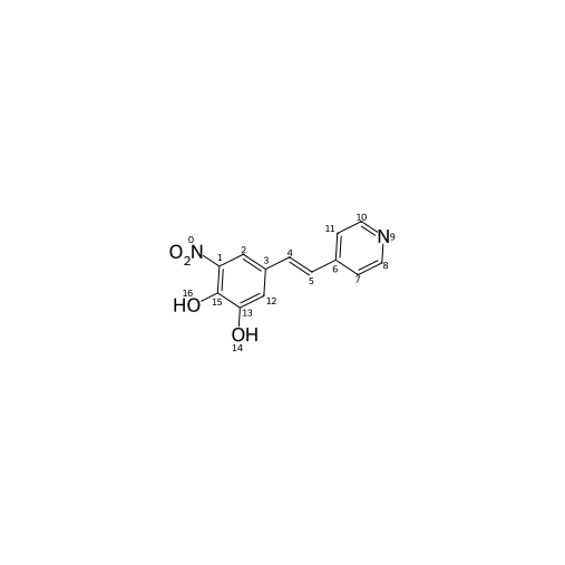 O=[N+]([O-])c1cc(/C=C/c2ccncc2)cc(O)c1O